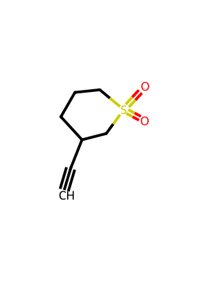 C#CC1CCCS(=O)(=O)C1